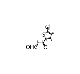 O=CCC(=O)c1ccc(Cl)s1